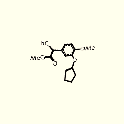 COC(=O)C(C#N)c1ccc(OC)c(OC2CCCC2)c1